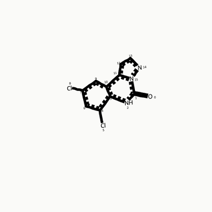 O=c1[nH]c2c(Cl)cc(Cl)cc2c2ccnn12